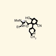 C=C1CC=C(c2c(C#N)ccc(O)c2C(=O)/N=C(/NC)NCC)C=N1